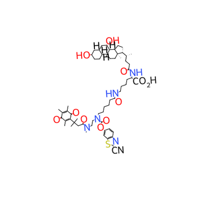 CC1=C(C)C(=O)C(C(C)(C)CC(=O)N(C)CCN(CCCCCC(=O)NCCCCC(NC(=O)CC[C@@H](C)[C@H]2CC[C@H]3[C@@H]4[C@H](O)C[C@@H]5C[C@H](O)CC[C@]5(C)[C@H]4CC[C@]23C)C(=O)O)C(=O)Oc2ccc3nc(C#N)sc3c2)=C(C)C1=O